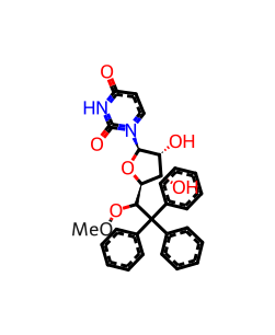 COOC([C@H]1O[C@@H](n2ccc(=O)[nH]c2=O)[C@H](O)[C@@H]1O)C(c1ccccc1)(c1ccccc1)c1ccccc1